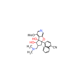 COc1cncc2c1C1(O)[C@H](O)C(CN(C)C)[C@@H](c3ccccc3)C1(c1ccc(C#N)cc1)O2